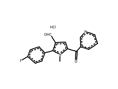 Cl.Cn1c(C(=O)c2cccnc2)cc(C=O)c1-c1ccc(F)cc1